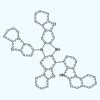 B1c2cc3oc4ccccc4c3cc2N(c2ccc3oc4ccccc4c3c2)c2cc3c(oc4ccccc43)c(-c3cccc4c3[nH]c3ccc5ccccc5c34)c21